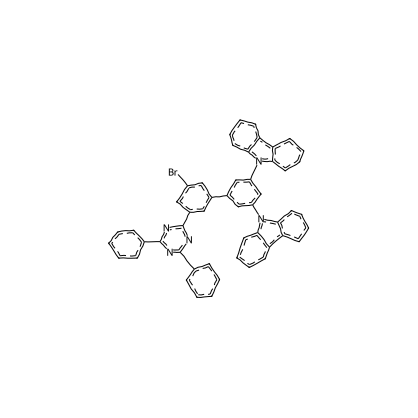 Brc1cc(-c2cc(-n3c4ccccc4c4ccccc43)cc(-n3c4ccccc4c4ccccc43)c2)cc(-c2nc(-c3ccccc3)nc(-c3ccccc3)n2)c1